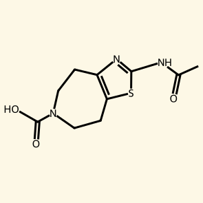 CC(=O)Nc1nc2c(s1)CCN(C(=O)O)CC2